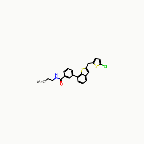 COCCNC(=O)c1cccc(-c2cccc3cc(Cc4ccc(Cl)s4)sc23)c1